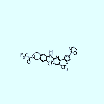 O=C(N1CCc2cc(Nc3ncc(C(F)(F)F)c(-c4cc(C5=NCCO5)cs4)n3)c(Cl)cc2C1)C(F)(F)F